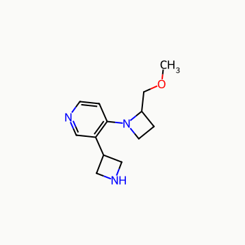 COCC1CCN1c1ccncc1C1CNC1